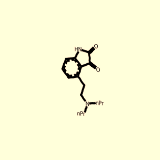 CCCN(CCC)CCc1cccc2c1C(=O)C(=O)N2